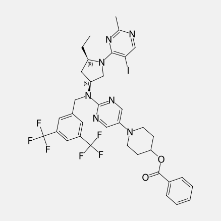 CC[C@@H]1C[C@H](N(Cc2cc(C(F)(F)F)cc(C(F)(F)F)c2)c2ncc(N3CCC(OC(=O)c4ccccc4)CC3)cn2)CN1c1nc(C)ncc1I